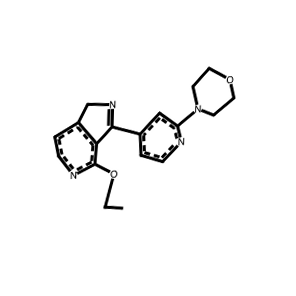 CCOc1nccc2c1C(c1ccnc(N3CCOCC3)c1)=NC2